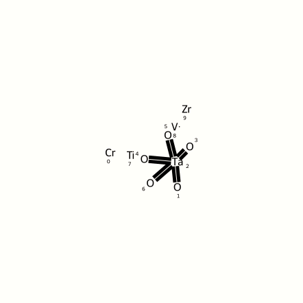 [Cr].[O]=[Ta](=[O])(=[O])(=[O])=[O].[Ti].[V].[Zr]